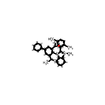 Cc1ccc(C)c(-c2n(-c3c(C(C)C)cc(-c4ccccc4)cc3C(C)C)c3ccccc3[n+]2C)c1